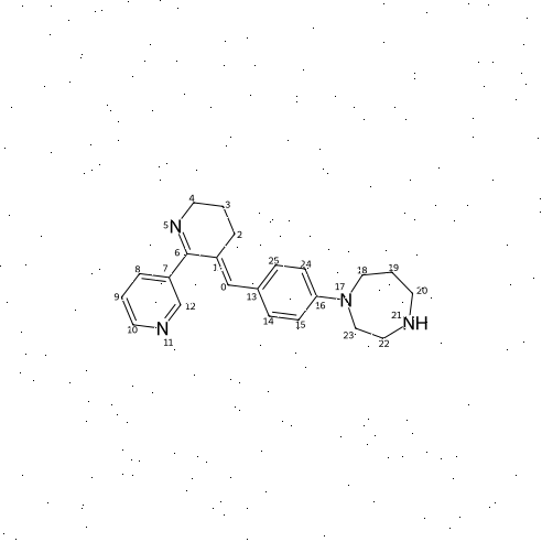 C(=C1/CCCN=C1c1cccnc1)/c1ccc(N2CCCNCC2)cc1